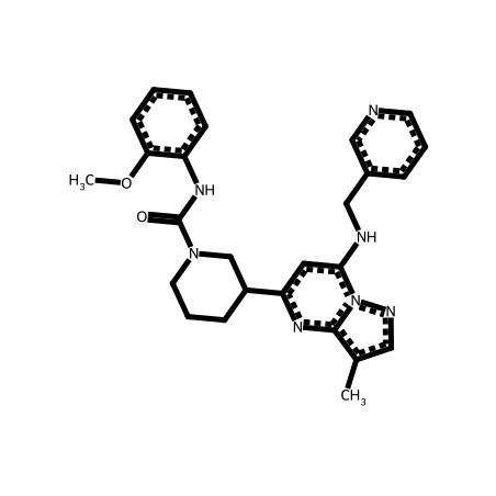 COc1ccccc1NC(=O)N1CCCC(c2cc(NCc3cccnc3)n3ncc(C)c3n2)C1